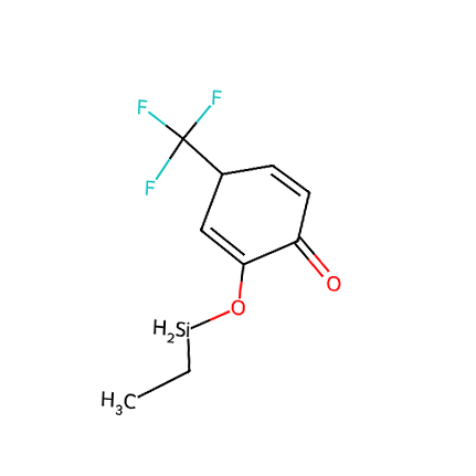 CC[SiH2]OC1=CC(C(F)(F)F)C=CC1=O